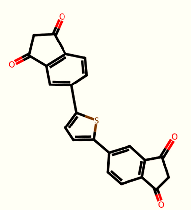 O=C1CC(=O)c2cc(-c3ccc(-c4ccc5c(c4)C(=O)CC5=O)s3)ccc21